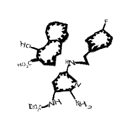 CCOC(=O)Nc1ccc(NCc2ccc(F)cc2)nc1N.O=C(O)c1ccc2ccccc2c1O